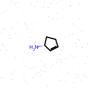 N[C@H]1C=CCC1